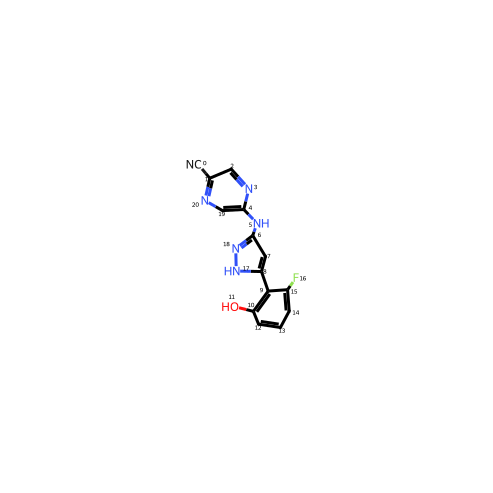 N#Cc1cnc(Nc2cc(-c3c(O)cccc3F)[nH]n2)cn1